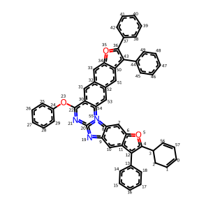 C1=CCC(c2oc3cc4c(cc3c2-c2ccccc2)nc2nc(Oc3ccccc3)c3cc5cc6oc(-c7ccccc7)c(-c7ccccc7)c6cc5cc3n24)C=C1